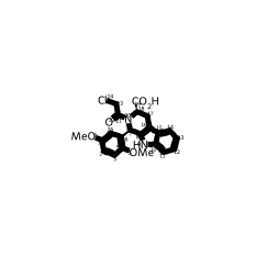 COc1ccc(OC)c([C@@H]2c3[nH]c4ccccc4c3C[C@@H](C(=O)O)N2C(=O)CCl)c1